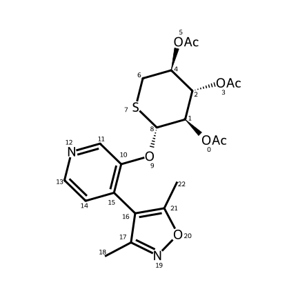 CC(=O)O[C@@H]1[C@@H](OC(C)=O)[C@H](OC(C)=O)CS[C@H]1Oc1cnccc1-c1c(C)noc1C